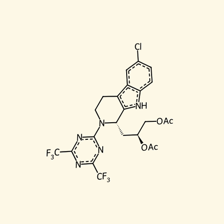 CC(=O)OC[C@H](C[C@H]1c2[nH]c3ccc(Cl)cc3c2CCN1c1nc(C(F)(F)F)nc(C(F)(F)F)n1)OC(C)=O